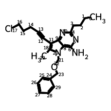 CCCCc1nc(N)c2c(n1)c(C#CCCCCl)c(C)n2COCc1ccccc1